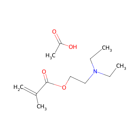 C=C(C)C(=O)OCCN(CC)CC.CC(=O)O